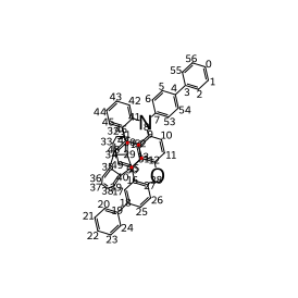 c1ccc(-c2ccc(N(c3ccc4c(c3)C3(c5cc(-c6ccccc6)ccc5O4)c4ccccc4-c4ccccc43)c3ccccc3-c3ccccc3)cc2)cc1